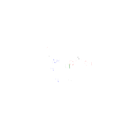 CCC(=O)O.O=C1CCN(c2ncccc2Cl)N1